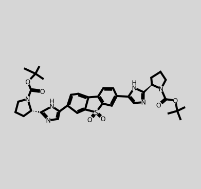 CC(C)(C)OC(=O)N1CCC[C@@H]1c1ncc(-c2ccc3c(c2)S(=O)(=O)c2cc(-c4cnc([C@@H]5CCCN5C(=O)OC(C)(C)C)[nH]4)ccc2-3)[nH]1